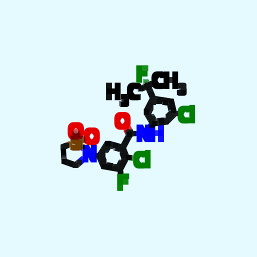 CC(C)(F)c1cc(Cl)cc(NC(=O)c2cc(N3CCCS3(=O)=O)cc(F)c2Cl)c1